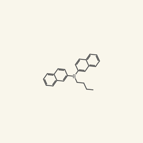 CCCCB(c1ccc2ccccc2c1)c1ccc2ccccc2c1